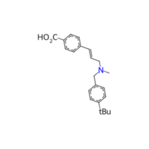 CN(CC=Cc1ccc(C(=O)O)cc1)Cc1ccc(C(C)(C)C)cc1